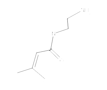 CC(C)=CC(=O)NCCN